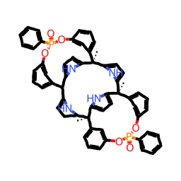 C[C@]12C3=CCC(N3)[C@]3(C)c4cccc(c4)OP(=O)(c4ccccc4)Oc4cccc(c4)[C@](C)(c4ccc([nH]4)[C@](C)(c4cccc(c4)OP(=O)(c4ccccc4)Oc4cccc1c4)c1ccc2[nH]1)c1ccc3[nH]1